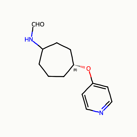 O=CNC1CCC[C@@H](Oc2ccncc2)CC1